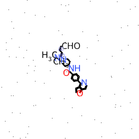 CN(C)/C(=C\C=C/C=O)N1CCC(NC(=O)c2ccc(-c3nccc4occc34)cc2)CC1